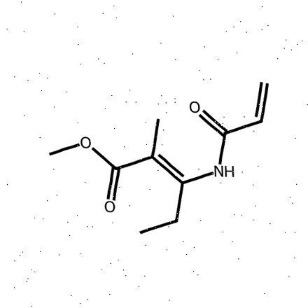 C=CC(=O)NC(CC)=C(C)C(=O)OC